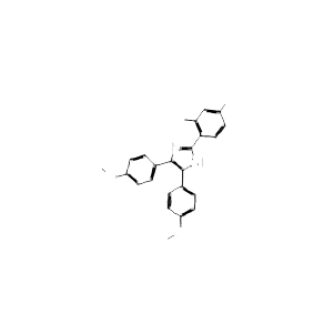 COc1ccc(-c2nc(-c3ccc(F)cc3F)[nH]c2-c2ccc(OC)cc2)cc1